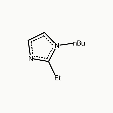 CCCCn1ccnc1CC